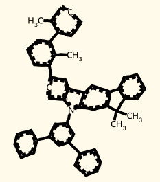 Cc1ccccc1-c1cccc(-c2ccc3c(c2)c2cc4c(cc2n3-c2cc(-c3ccccc3)cc(-c3ccccc3)c2)C(C)(C)c2ccccc2-4)c1C